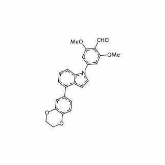 COc1cc(-n2ccc3c(-c4ccc5c(c4)OCCO5)cccc32)cc(OC)c1C=O